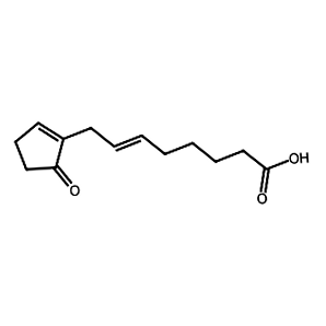 O=C(O)CCCCC=CCC1=CCCC1=O